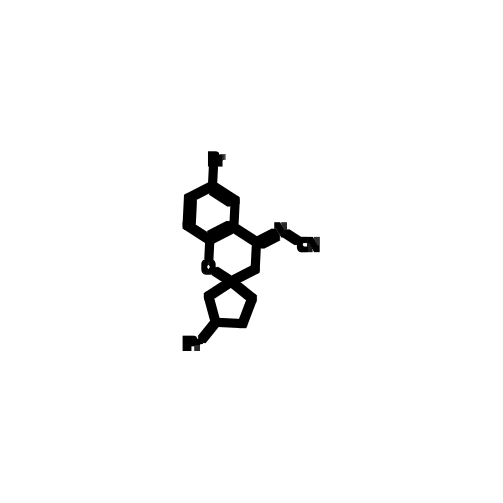 CC(C)C1CCC2(C/C(=N\C#N)c3cc(Br)ccc3O2)C1